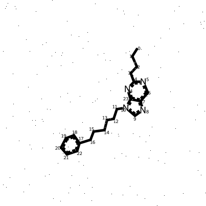 CCCCc1n[c]c2ncn(CCCCCCc3ccccc3)c2n1